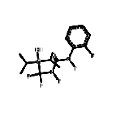 CC(C)[Si](O)(C(C)C)C(F)(F)N(F)C(=O)N(F)c1ccccc1F